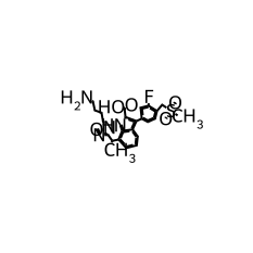 CC(c1noc(CCCN)n1)c1cccc2c(-c3ccc(CS(C)(=O)=O)c(F)c3)c(C(=O)O)[nH]c12